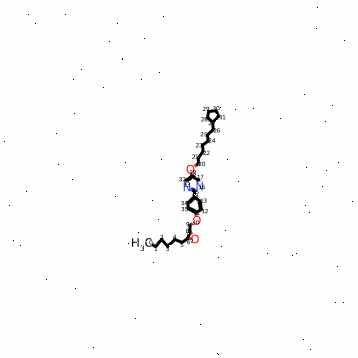 CCCCCCC1OC1COc1ccc(-c2ncc(OCCCCCCCC3CCCC3)cn2)cc1